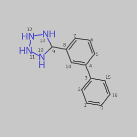 c1ccc(-c2cccc(C3NNNN3)c2)cc1